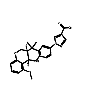 COc1cccc2c1[C@H]1Nc3ccc(-n4cc(C(=O)O)cn4)cc3C(C)(C)[C@H]1CO2